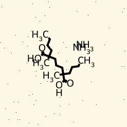 CCCCC(C)(CCCC(C)(CCCC)C(=O)O)C(=O)O.N.N